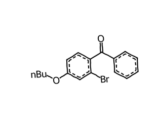 CCCCOc1ccc(C(=O)c2ccccc2)c(Br)c1